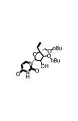 C=C[C@]1(COCCCC)O[C@@H](n2ccc(=O)[nH]c2=O)[C@H](O)[C@@H]1OCCCC